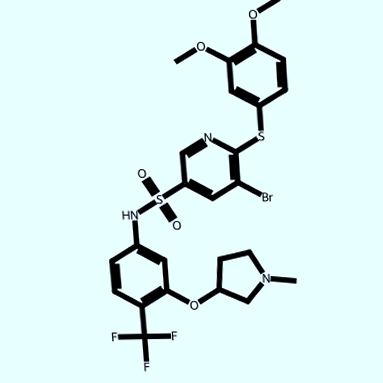 COc1ccc(Sc2ncc(S(=O)(=O)Nc3ccc(C(F)(F)F)c(OC4CCN(C)C4)c3)cc2Br)cc1OC